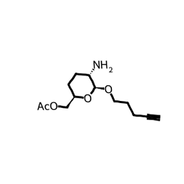 C#CCCCO[C@H]1O[C@@H](COC(C)=O)CC[C@@H]1N